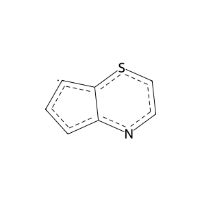 [c]1ccc2nccsc1-2